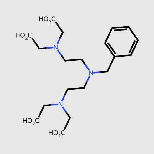 O=C(O)CN(CCN(CCN(CC(=O)O)CC(=O)O)Cc1ccccc1)CC(=O)O